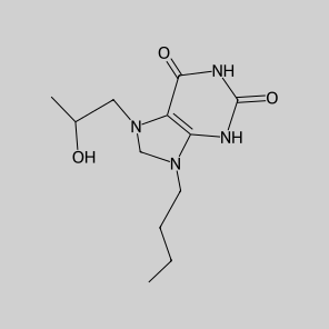 CCCCN1CN(CC(C)O)c2c1[nH]c(=O)[nH]c2=O